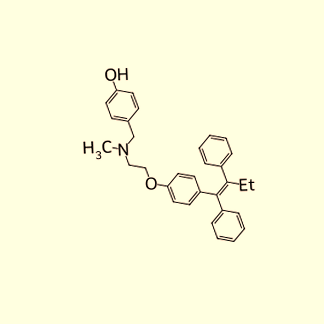 CC/C(=C(\c1ccccc1)c1ccc(OCCN(C)Cc2ccc(O)cc2)cc1)c1ccccc1